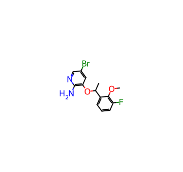 COc1c(F)cccc1C(C)Oc1cc(Br)cnc1N